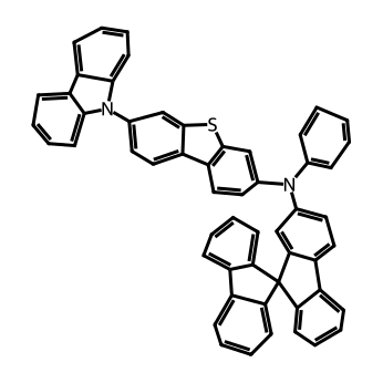 c1ccc(N(c2ccc3c(c2)C2(c4ccccc4-c4ccccc42)c2ccccc2-3)c2ccc3c(c2)sc2cc(-n4c5ccccc5c5ccccc54)ccc23)cc1